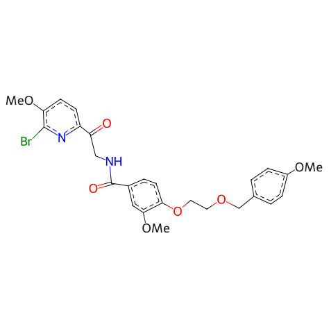 COc1ccc(COCCOc2ccc(C(=O)NCC(=O)c3ccc(OC)c(Br)n3)cc2OC)cc1